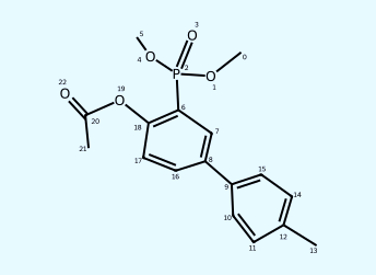 COP(=O)(OC)c1cc(-c2ccc(C)cc2)ccc1OC(C)=O